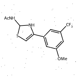 COc1cc(C2=CSC(NC(C)=O)N2)cc(C(F)(F)F)c1